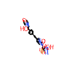 CC(CCN1Cc2cc(C#Cc3ccc([C@H](O)CN4CCOCC4)cc3)cn2C1=O)(C(=O)NO)S(C)(=O)=O